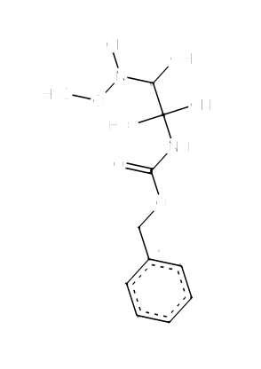 CON(C)C(O)C(C)(C)NC(=O)OCc1ccccc1